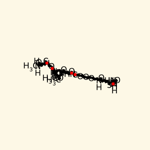 CNC(=O)/C=C/CN(C)CCOCCn1nnc2c1CCN(C(=O)CCCC(=O)NCCCOCCOCCOCCCNC(=O)CCCC[C@@H]1SC[C@@H]3NC(=O)N[C@@H]31)C[C@H](OC)[C@H]2OC